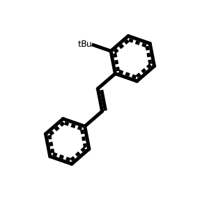 CC(C)(C)c1ccccc1C=Cc1ccccc1